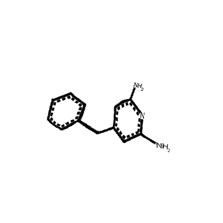 Nc1cc(Cc2ccccc2)cc(N)n1